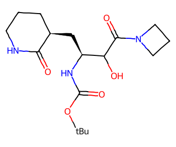 CC(C)(C)OC(=O)N[C@@H](C[C@@H]1CCCNC1=O)C(O)C(=O)N1CCC1